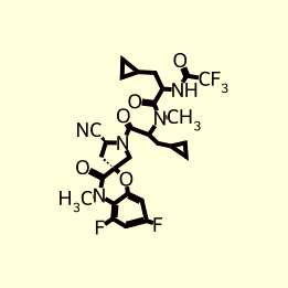 CN1C(=O)[C@]2(C[C@@H](C#N)N(C(=O)C(CC3CC3)N(C)C(=O)C(CC3CC3)NC(=O)C(F)(F)F)C2)Oc2cc(F)cc(F)c21